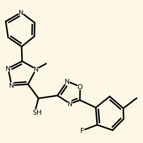 Cc1ccc(F)c(-c2nc(C(S)c3nnc(-c4ccncc4)n3C)no2)c1